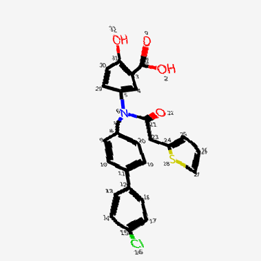 O=C(O)c1cc(N(Cc2ccc(-c3ccc(Cl)cc3)cc2)C(=O)Cc2cccs2)ccc1O